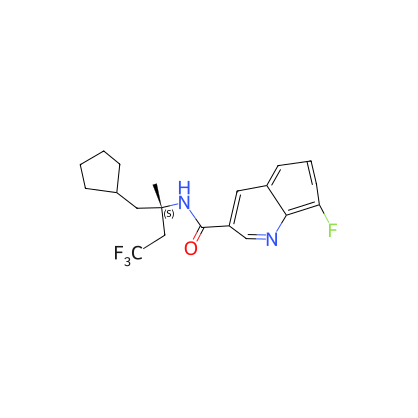 C[C@](CC1CCCC1)(CC(F)(F)F)NC(=O)c1cnc2c(F)cccc2c1